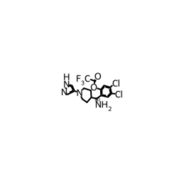 N[C@@H](c1cc(Cl)c(Cl)cc1OC(=O)C(F)(F)F)C1CCN(c2cn[nH]c2)CC1